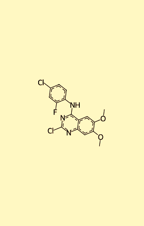 COc1cc2nc(Cl)nc(Nc3ccc(Cl)cc3F)c2cc1OC